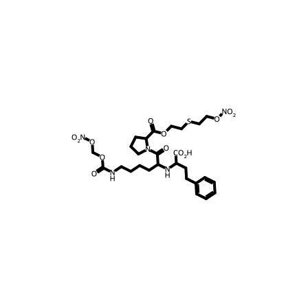 O=C(NCCCCC(NC(CCc1ccccc1)C(=O)O)C(=O)N1CCCC1C(=O)OCCSCCO[N+](=O)[O-])OCO[N+](=O)[O-]